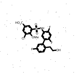 COc1c(Cl)cc(C(=O)O)cc1S(=O)(=O)Nc1cc(-c2cc(F)ccc2CCO)c(F)cc1F